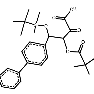 CC(C)(C)C(=O)OC(C(=O)C(=O)O)C(O[Si](C)(C)C(C)(C)C)c1ccc(-c2ccccc2)cc1